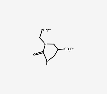 CCCCCCCCN1CC(C(=O)OCC)CNC1=O